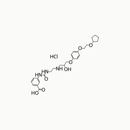 Cl.O=C(NCCNCC(O)COc1ccc(OCCOC2CCCC2)cc1)Nc1cccc(C(=O)O)c1